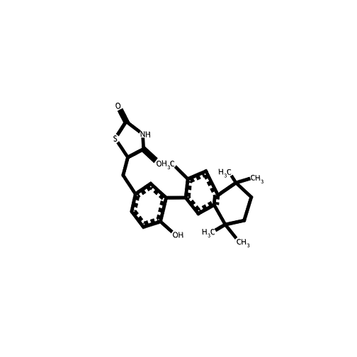 Cc1cc2c(cc1-c1cc(CC3SC(=O)NC3=O)ccc1O)C(C)(C)CCC2(C)C